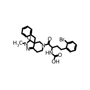 CN1N=C2CCN(C(=O)C(CCc3ccccc3Br)NC(=O)O)CC2(Cc2ccccc2)C1=O